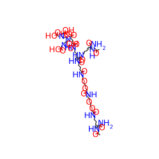 CC(=O)CN[C@@H](CCCCNC(=O)COCCOCCNC(=O)COCCOCCNC(=O)CCCC(=O)N[C@@H](CCCCNC(=O)CCC(C(=O)O)N(CCN(CC(=O)O)CC(=O)O)CCN(CC(=O)O)CC(=O)O)C(=O)NCCCC[C@H](NCC(C)=O)C(N)=O)C(N)=O